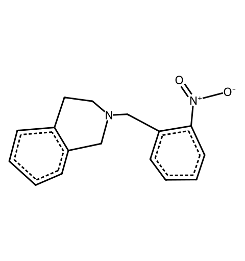 O=[N+]([O-])c1ccccc1CN1CCc2ccccc2C1